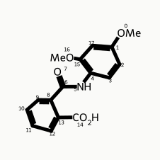 COc1ccc(NC(=O)c2ccccc2C(=O)O)c(OC)c1